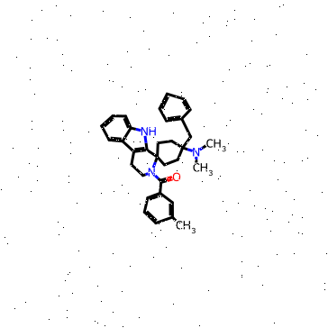 Cc1cccc(C(=O)N2CCc3c([nH]c4ccccc34)C23CCC(Cc2ccccc2)(N(C)C)CC3)c1